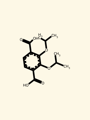 CC(C)Oc1c(C(=O)O)ccc(C(=O)O)c1OC(C)C